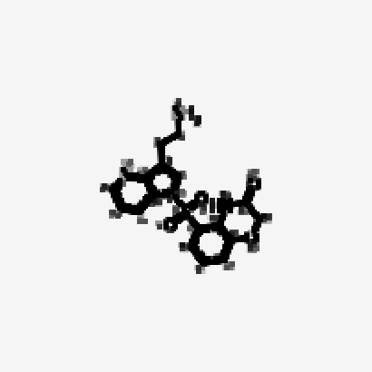 NCCc1cn(S(=O)(=O)c2cccc3c2NC(=O)CO3)c2cccnc12